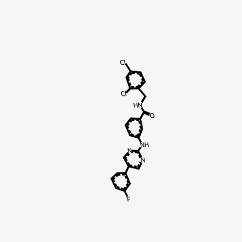 O=C(NCc1ccc(Cl)cc1Cl)c1cccc(Nc2ncc(-c3cccc(F)c3)cn2)c1